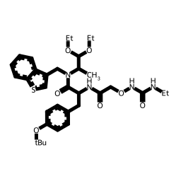 CCNC(=O)NOCC(=O)NC(Cc1ccc(OC(C)(C)C)cc1)C(=O)N(Cc1csc2ccccc12)C(C)C(OCC)OCC